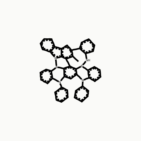 Cc1c2cc3c4ccccc4n4c3c1-c1c3c(cc5c1B4c1ccccc1N5c1ccccc1)N(c1ccccc1)c1ccccc1B3Nc1ccccc1-2